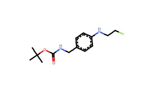 CC(C)(C)OC(=O)NCc1ccc(NCCF)cc1